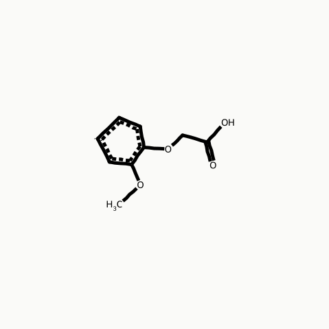 COc1c[c]ccc1OCC(=O)O